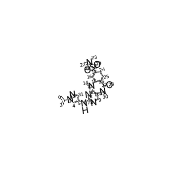 CC(C)n1cc(Nc2ncc3c(n2)N(C)c2cc(S(=O)(=O)N(C)C)ccc2C(=O)N3C)cn1